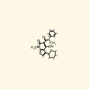 CN(C(=O)c1c(O)c2c(C3CCCCC3)csc2n(C)c1=O)c1ccccc1